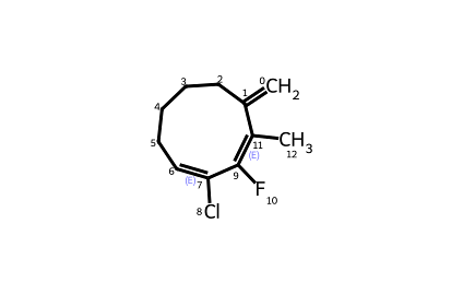 C=C1CCCC/C=C(Cl)\C(F)=C/1C